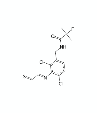 CC(C)(F)C(=O)NCc1ccc(Cl)c(N=CC=S)c1Cl